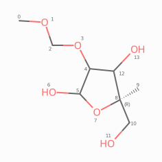 COCOC1C(O)O[C@](C)(CO)C1O